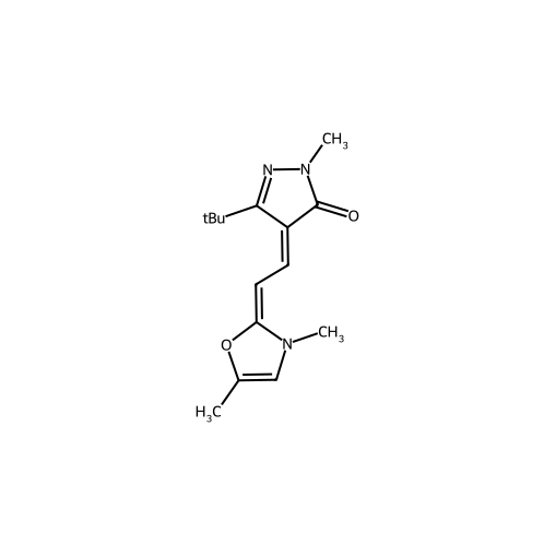 CC1=CN(C)/C(=C\C=C2\C(=O)N(C)N=C2C(C)(C)C)O1